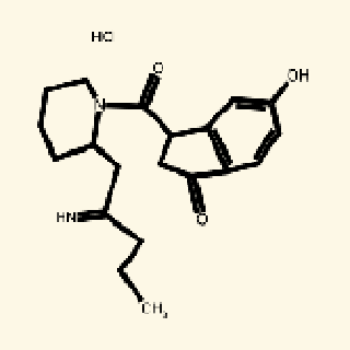 CCCC(=N)CC1CCCCN1C(=O)C1CC(=O)c2ccc(O)cc21.Cl